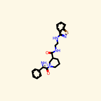 N[C@@H](C(=O)N1CCCC(C(=O)NCCNc2nsc3ccccc23)C1)c1ccccc1